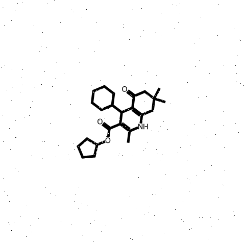 CC1=C(C(=O)OC2CCCC2)C(C2CCCCC2)C2=C(CC(C)(C)CC2=O)N1